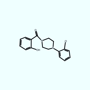 O=C(c1ccccc1O)N1CCN(c2ccccc2Cl)CC1